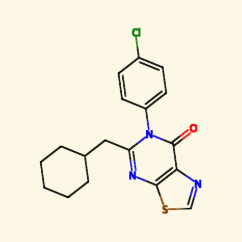 O=c1c2ncsc2nc(CC2CCCCC2)n1-c1ccc(Cl)cc1